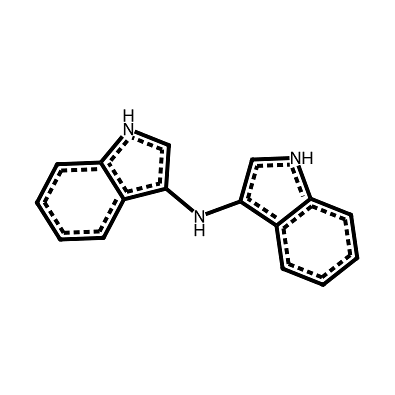 c1ccc2c(Nc3c[nH]c4ccccc34)c[nH]c2c1